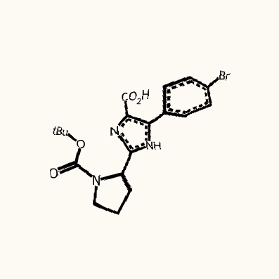 CC(C)(C)OC(=O)N1CCCC1c1nc(C(=O)O)c(-c2ccc(Br)cc2)[nH]1